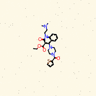 CCOC(=O)c1c(N2CCN(C(=O)c3cccs3)CC2)c2ccccc2n(CCN(C)C)c1=O